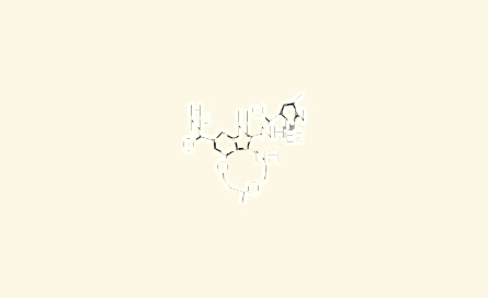 CCn1nc(C)cc1C(=O)Nc1[nH]c2cc(C(N)=O)cc3c2c1NCCOC(C)CCO3